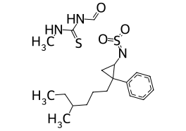 CCC(C)CCCC1(c2ccccc2)CC1N=S(=O)=O.CNC(=S)NC=O